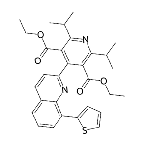 CCOC(=O)c1c(C(C)C)nc(C(C)C)c(C(=O)OCC)c1-c1ccc2cccc(-c3cccs3)c2n1